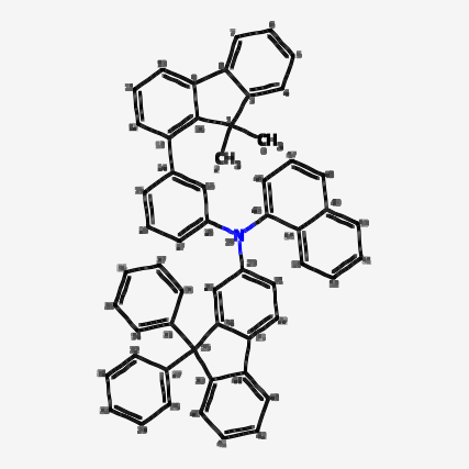 CC1(C)c2ccccc2-c2cccc(-c3cccc(N(c4ccc5c(c4)C(c4ccccc4)(c4ccccc4)c4ccccc4-5)c4cccc5ccccc45)c3)c21